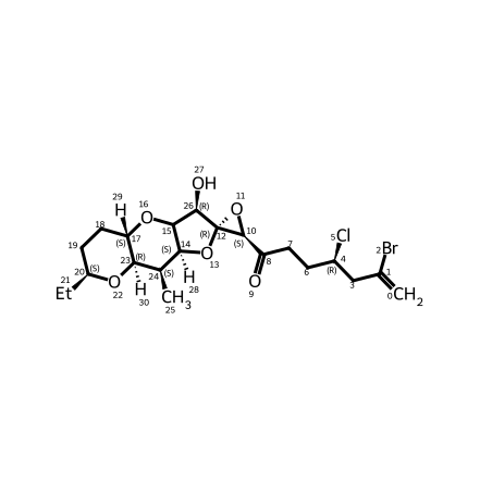 C=C(Br)C[C@H](Cl)CCC(=O)[C@@H]1O[C@@]12O[C@@H]1C(O[C@H]3CC[C@H](CC)O[C@@H]3[C@@H]1C)[C@H]2O